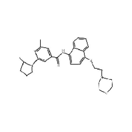 Cc1cc(C(=O)Nc2ccc(OCCN3CCOCC3)c3ccccc23)cc(N2CCCC2C)n1